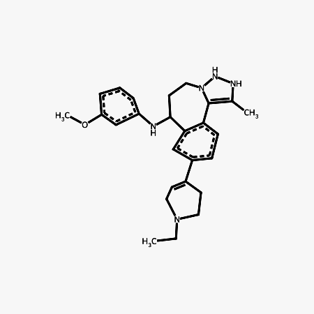 CCN1CC=C(c2ccc3c(c2)C(Nc2cccc(OC)c2)CCN2NNC(C)=C32)CC1